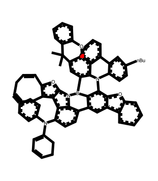 CCCCc1ccc(N2c3cc4c(cc3B3c5c(cc6c(oc7ccccc76)c52)-c2ccc(N(C5=CC=CCC5)c5ccccc5)c5c6c7c(oc6n3c25)/C=C\CC#CC7)C(C)(C)c2ccccc2O4)c(-c2ccccc2)c1